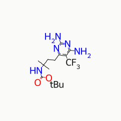 CC(C)(CCc1nc(N)nc(N)c1C(F)(F)F)NC(=O)OC(C)(C)C